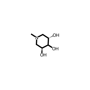 CN1C[C@H](O)C(O)[C@@H](O)C1